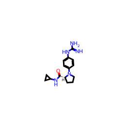 N=C(N)Nc1ccc(N2CCC[C@@H]2C(=O)NC2CC2)cc1